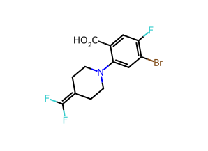 O=C(O)c1cc(F)c(Br)cc1N1CCC(=C(F)F)CC1